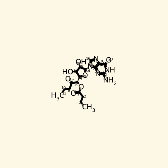 CCCC(=O)OC(C(=O)CCC)[C@H]1O[C@@H](n2cnc3c(=O)[nH]c(N)nc32)[C@H](O)[C@@H]1O